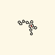 c1ccc(-c2ccc(-c3ccc(N(c4ccc(-c5cccc(-c6cccc7ccccc67)c5)cc4)c4ccccc4-c4ccc5sc6ccccc6c5c4)cc3)cc2)cc1